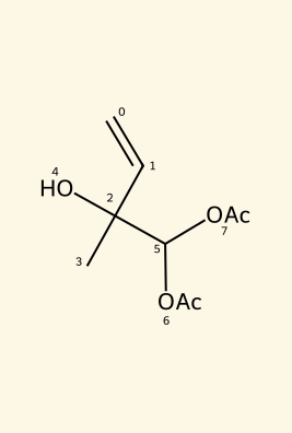 C=CC(C)(O)C(OC(C)=O)OC(C)=O